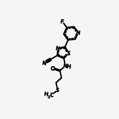 CSCCC(=O)Nc1sc(-c2cncc(F)c2)nc1C#N